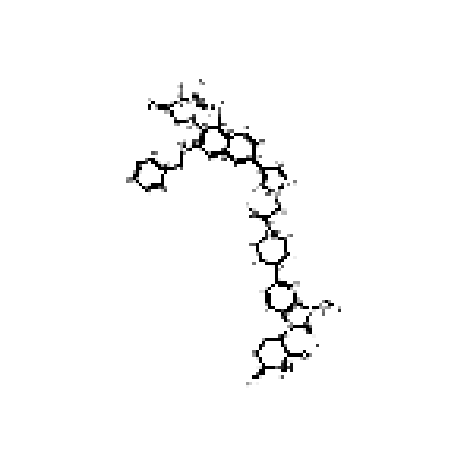 Cn1c(=O)n(C2CCC(=O)NC2=O)c2ccc(C3CCN(C(=O)Cn4cc(-c5ccc6c(F)c(N7CC(=O)NS7(=O)=O)c(OCc7ccccc7)cc6c5)cn4)CC3)cc21